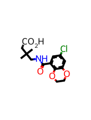 CC(C)(CNC(=O)c1cc(Cl)cc2c1OCCO2)CC(=O)O